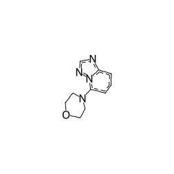 c1cc(N2CCOCC2)n2ncnc2c1